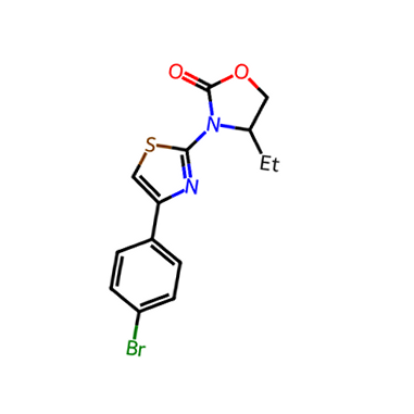 CCC1COC(=O)N1c1nc(-c2ccc(Br)cc2)cs1